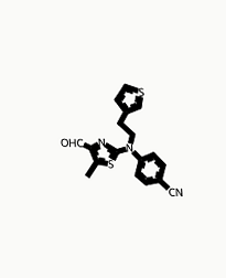 Cc1sc(N(CCc2ccsc2)c2ccc(C#N)cc2)nc1C=O